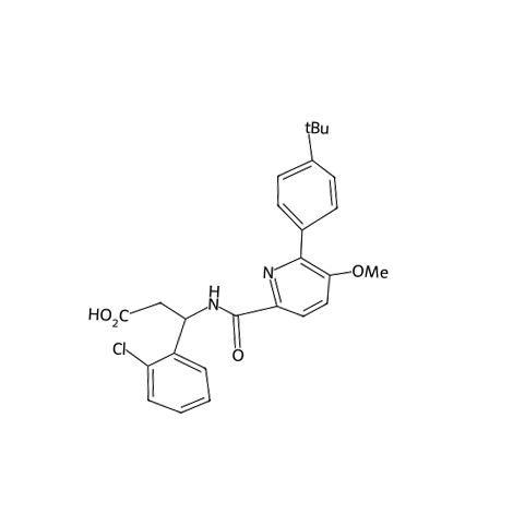 COc1ccc(C(=O)NC(CC(=O)O)c2ccccc2Cl)nc1-c1ccc(C(C)(C)C)cc1